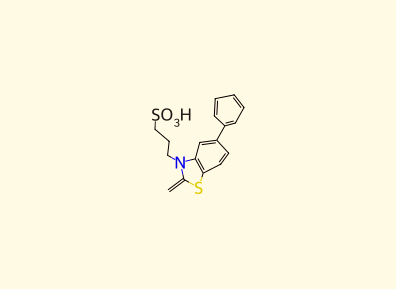 C=C1Sc2ccc(-c3ccccc3)cc2N1CCCS(=O)(=O)O